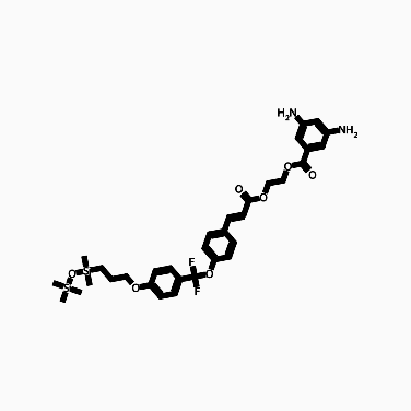 C[Si](C)(C)O[Si](C)(C)CCCOc1ccc(C(F)(F)Oc2ccc(/C=C/C(=O)OCCOC(=O)c3cc(N)cc(N)c3)cc2)cc1